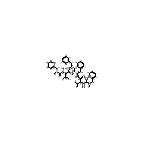 CC(C)[C@H](NC(=O)N(C)Cc1ccccn1)C(=O)N[C@H](CC[C@H](Cc1ccccc1)NC(=O)[C@@H](NC(=O)N(C)Cc1ccccn1)C(C)C)Cc1ccccc1